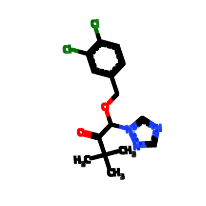 CC(C)(C)C(=O)C(OCc1ccc(Cl)c(Cl)c1)n1cncn1